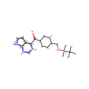 CC(C)(C)[Si](C)(C)OCC1CCC(C(=O)c2ncnc3[nH]ccc23)CC1